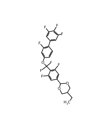 CCC1COC(c2cc(F)c(C(F)(F)Oc3ccc(-c4cc(F)c(F)c(F)c4)c(F)c3)c(F)c2)OC1